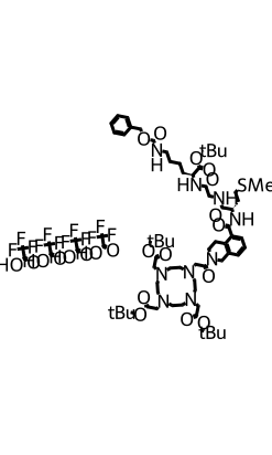 CSCC[C@H](NC(=O)c1cccc2c1CCN(C(=O)CN1CCN(CC(=O)OC(C)(C)C)CCN(CC(=O)OC(C)(C)C)CCN(CC(=O)OC(C)(C)C)CC1)C2)C(=O)NCC(=O)N[C@@H](CCCCNC(=O)OCc1ccccc1)C(=O)OC(C)(C)C.O=C(O)C(F)(F)F.O=C(O)C(F)(F)F.O=C(O)C(F)(F)F.O=C(O)C(F)(F)F